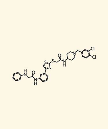 O=C(CNc1ccccc1)Nc1cccc(-c2csc(SCC(=O)NC3CCN(Cc4ccc(Cl)c(Cl)c4)CC3)n2)c1